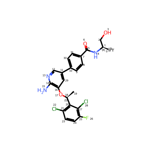 CC(C)[C@H](CO)NC(=O)c1ccc(-c2cnc(N)c(O[C@@H](C)c3c(Cl)ccc(F)c3Cl)c2)cc1